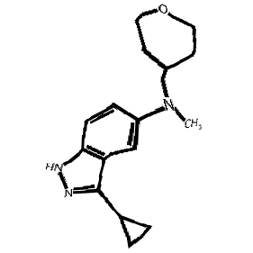 CN(c1ccc2[nH]nc(C3CC3)c2c1)C1CCOCC1